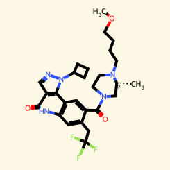 COCCCCN1CCN(C(=O)c2cc3c(cc2CC(F)(F)F)[nH]c(=O)c2cnn(C4CCC4)c23)C[C@H]1C